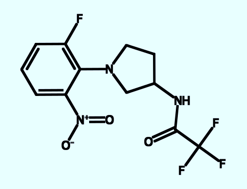 O=C(NC1CCN(c2c(F)cccc2[N+](=O)[O-])C1)C(F)(F)F